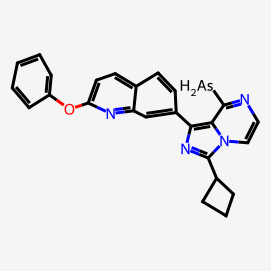 [AsH2]c1nccn2c(C3CCC3)nc(-c3ccc4ccc(Oc5ccccc5)nc4c3)c12